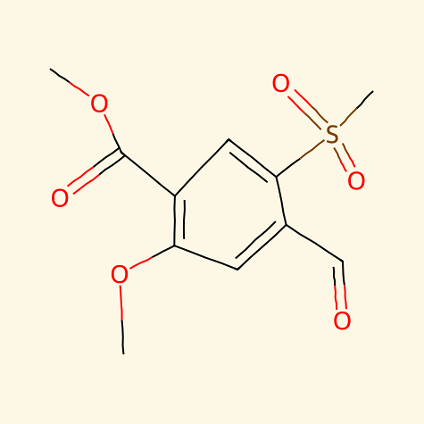 COC(=O)c1cc(S(C)(=O)=O)c(C=O)cc1OC